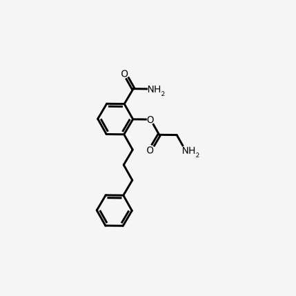 NCC(=O)Oc1c(CCCc2ccccc2)cccc1C(N)=O